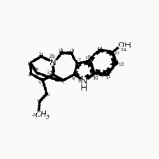 CCCC1CC2CC3c4[nH]c5ccc(O)cc5c4CCN(C2)C13